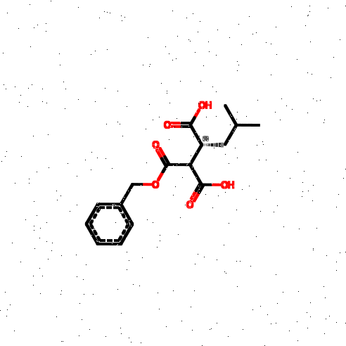 CC(C)C[C@@H](C(=O)O)C(C(=O)O)C(=O)OCc1ccccc1